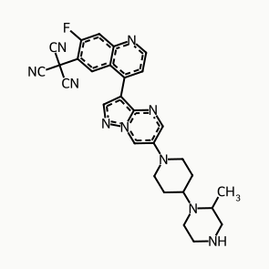 CC1CNCCN1C1CCN(c2cnc3c(-c4ccnc5cc(F)c(C(C#N)(C#N)C#N)cc45)cnn3c2)CC1